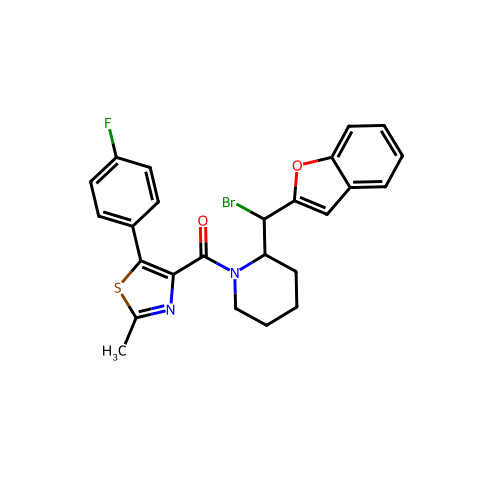 Cc1nc(C(=O)N2CCCCC2C(Br)c2cc3ccccc3o2)c(-c2ccc(F)cc2)s1